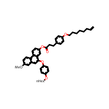 C=CCCCCCCOc1ccc(CCC(=O)Oc2ccc3c(c2)c(Oc2ccc(OCCCCCC)cc2)cc2cc(OC)ccc23)cc1